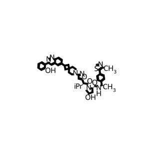 Cc1ncsc1-c1ccc([C@H](C)NC(=O)[C@@H]2C[C@@H](O)CN2C(=O)[C@@H](c2cc(N3CCC4(CC3)CC(c3ccc5nnc(-c6ccccc6O)cc5c3)C4)no2)C(C)C)cc1